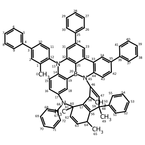 Cc1cc(-c2ccccc2)ccc1N1c2ccc3cc2B2c4c(cc(-c5ccccc5)cc41)-c1cc(-c4ccccc4)ccc1N2C1=CC(C)(c2ccccc2)C2=C(C1C)C(C)(C=CC2C)N3c1ccccc1